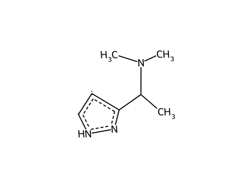 CC(c1[c]c[nH]n1)N(C)C